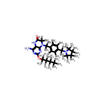 Bc1c(B)c(C(B)(B)N2C(B)(B)C(B)(B)C(B)(B)C2(B)B)c(B)c(B)c1C(B)(B)N1c2nc(OC(B)(B)C(B)(B)C(B)(B)C(B)(B)B)nc(N)c2NC(=O)C1(B)B